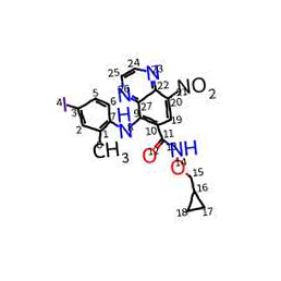 Cc1cc(I)ccc1Nc1c(C(=O)NOCC2CC2)cc([N+](=O)[O-])c2nccnc12